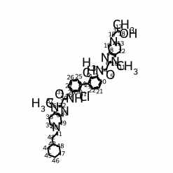 Cc1c(NC(=O)c2nc3c(n2C)CCN(C[C@H](C)O)C3)cccc1-c1cccc(NC(=O)c2nc3c(n2C)CCN(CCC2CCCCC2)C3)c1Cl